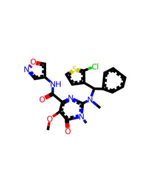 COc1c(C(=O)Nc2cnoc2)nc(N(C)C(c2ccccc2)c2ccsc2Cl)n(C)c1=O